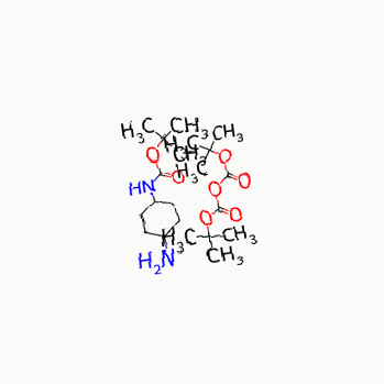 CC(C)(C)OC(=O)NC1CCC(N)CC1.CC(C)(C)OC(=O)OC(=O)OC(C)(C)C